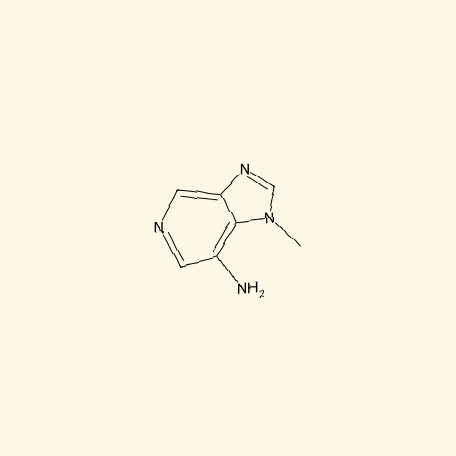 Cn1cnc2cncc(N)c21